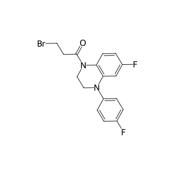 O=C(CCBr)N1CCN(c2ccc(F)cc2)c2cc(F)ccc21